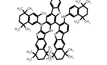 Cc1cc2c(cc1N1c3cc4c(oc5ccccc54)c(-c4c(Nc5ccc6c(c5)C(C)(C)CCC6(C)C)ccc5c4sc4cc6c(cc45)C(C)(C)CCC6(C)C)c3Bc3c1sc1cc4c(cc31)C(C)(C)CCC4(C)C)C(C)(C)CCC2(C)C